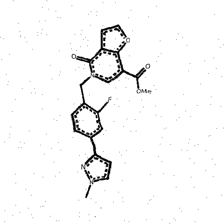 COC(=O)c1cn(Cc2ccc(-c3ccn(C)n3)cc2F)c(=O)c2ccoc12